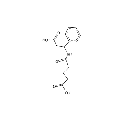 O=C(O)CCCC(=O)NC(CC(=O)O)c1ccccc1